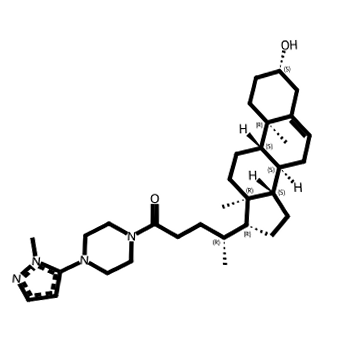 C[C@H](CCC(=O)N1CCN(c2ccnn2C)CC1)[C@H]1CC[C@H]2[C@@H]3CC=C4C[C@@H](O)CC[C@]4(C)[C@H]3CC[C@]12C